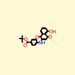 CC(C)(C)OC(=O)c1ccc(NC2=CC(=O)c3c(O)cccc3C2=O)cc1